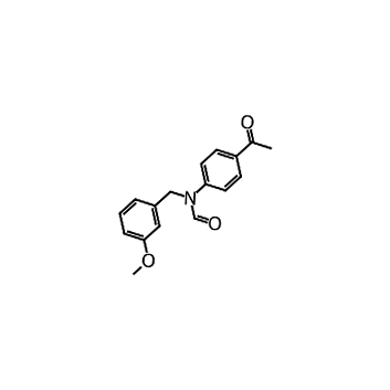 COc1cccc(CN(C=O)c2ccc(C(C)=O)cc2)c1